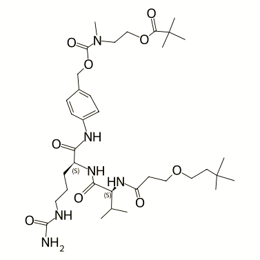 CC(C)[C@H](NC(=O)CCOCCC(C)(C)C)C(=O)N[C@@H](CCCNC(N)=O)C(=O)Nc1ccc(COC(=O)N(C)CCOC(=O)C(C)(C)C)cc1